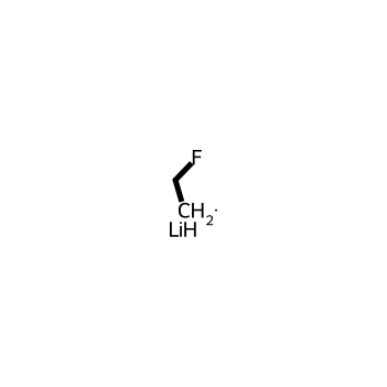 [CH2]CF.[LiH]